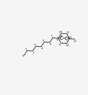 CCCCCCCCC12CCC(C)(CC1)CC2